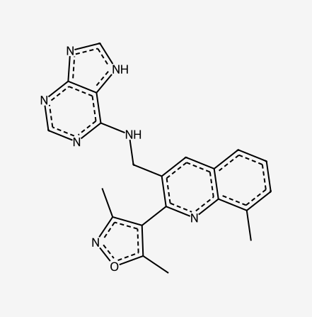 Cc1noc(C)c1-c1nc2c(C)cccc2cc1CNc1ncnc2nc[nH]c12